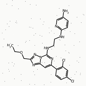 CCOCc1nc2cc(-c3ccc(Cl)cc3Cl)nc(NCCNc3ccc(N)cn3)n2n1